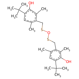 Cc1cc(C(C)(C)C)c(O)c(C)c1CSOSCc1c(C)cc(C(C)(C)C)c(O)c1C